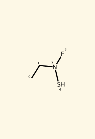 CCN(F)S